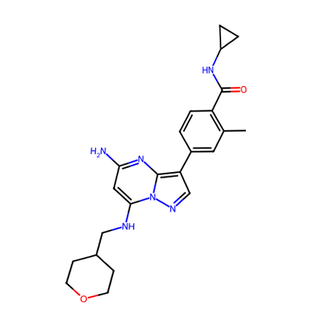 Cc1cc(-c2cnn3c(NCC4CCOCC4)cc(N)nc23)ccc1C(=O)NC1CC1